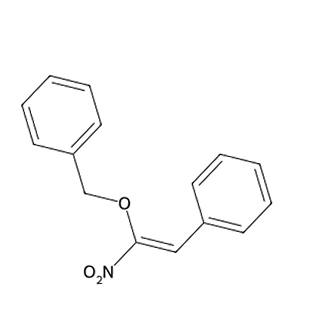 O=[N+]([O-])C(=Cc1ccccc1)OCc1ccccc1